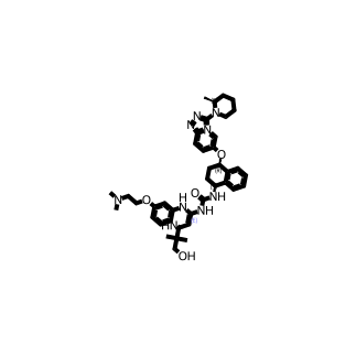 C[C@H]1CCCCN1c1nnc2ccc(O[C@@H]3CC[C@H](NC(=O)N/C(=C/C(=N)C(C)(C)CO)Nc4cccc(OCCN(C)C)c4)c4ccccc43)cn12